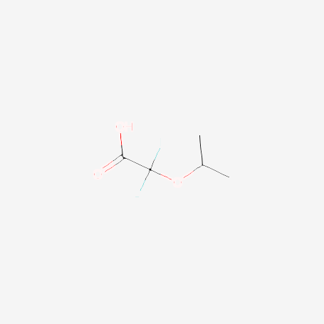 CC(C)OC(F)(F)C(=O)O